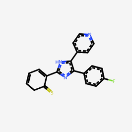 Fc1ccc(-c2nc(C3=CC=CCC3=S)[nH]c2-c2ccncc2)cc1